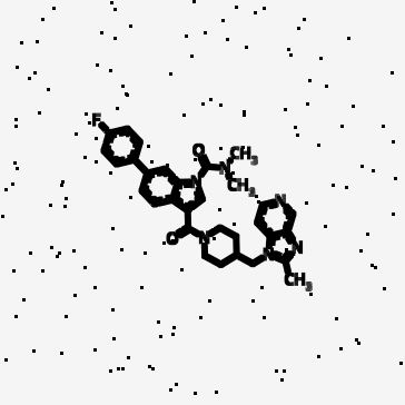 Cc1nc2cnccc2n1CC1CCN(C(=O)c2cn(C(=O)N(C)C)c3cc(-c4ccc(F)cc4)ccc23)CC1